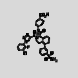 NS(=O)(=O)c1cccc(-c2cccc3c2CCN(C(=O)c2cn(-c4cccc(Cl)c4F)nn2)C3C(=O)Nc2ccc(C(=O)O)cc2)c1